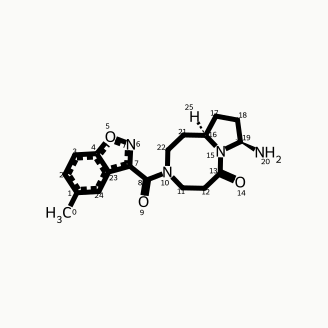 Cc1ccc2onc(C(=O)N3CCC(=O)N4[C@H](CC[C@H]4N)CC3)c2c1